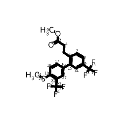 COC(=O)CCc1ccc(C(F)(F)F)cc1-c1ccc(SC)c(C(F)(F)F)c1